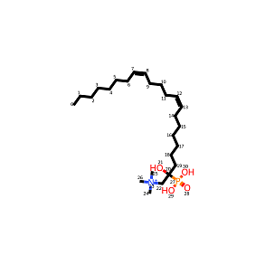 CCCCCCC/C=C\CCC/C=C\CCCCCCC(O)(C[N+](C)(C)C)P(=O)(O)O